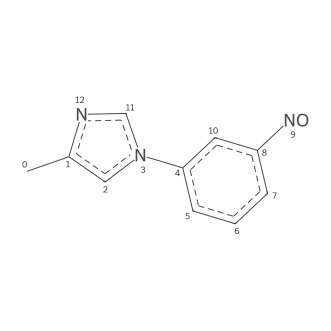 Cc1cn(-c2cccc(N=O)c2)cn1